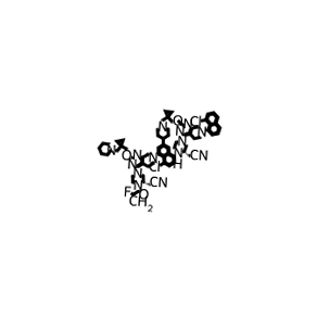 C=C(F)C(=O)N1CCN(c2nc(OCC3(CN4CCCCC4)CC3)nc3c2CCN(c2cc(C4CCN(CC5(COc6nc7c(c(N8CCN[C@@H](CC#N)C8)n6)CCN(c6cccc8cccc(Cl)c68)C7)CC5)CC4)cc4cccc(Cl)c24)C3)C[C@@H]1CC#N